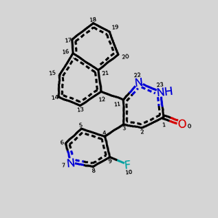 O=c1cc(-c2ccncc2F)c(-c2cccc3ccccc23)n[nH]1